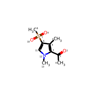 CC(=O)c1c(C)c(S(C)(=O)=O)cn1C